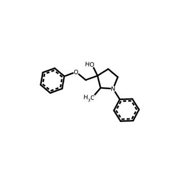 CC1N(c2ccccc2)CCC1(O)COc1ccccc1